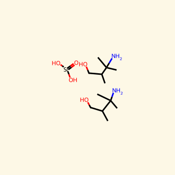 CC(CO)C(C)(C)N.CC(CO)C(C)(C)N.O=[Si](O)O